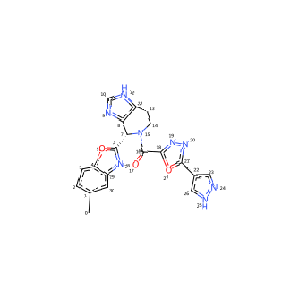 Cc1ccc2oc([C@@H]3c4nc[nH]c4CCN3C(=O)c3nnc(-c4cn[nH]c4)o3)nc2c1